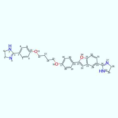 c1cc(C2=NCCN2)ccc1OCCCCOc1ccc(-c2cc3cc(C4=NCCN4)ccc3o2)cc1